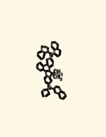 CC1(C)c2cc(N(c3ccccc3)c3ccc4ccccc4c3)ccc2-c2c1c1ccc(N(c3cccc4ccccc34)c3cccc4ccccc34)cc1c1ccccc21